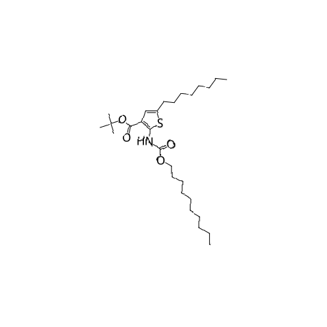 CCCCCCCCCCOC(=O)Nc1sc(CCCCCCCC)cc1C(=O)OC(C)(C)C